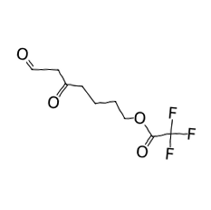 O=CCC(=O)CCCCOC(=O)C(F)(F)F